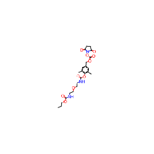 CCCOC(=O)NCCOCCNC(=O)Oc1c(C)cc(COC(=O)ON2C(=O)CCC2=O)cc1C